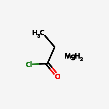 CCC(=O)Cl.[MgH2]